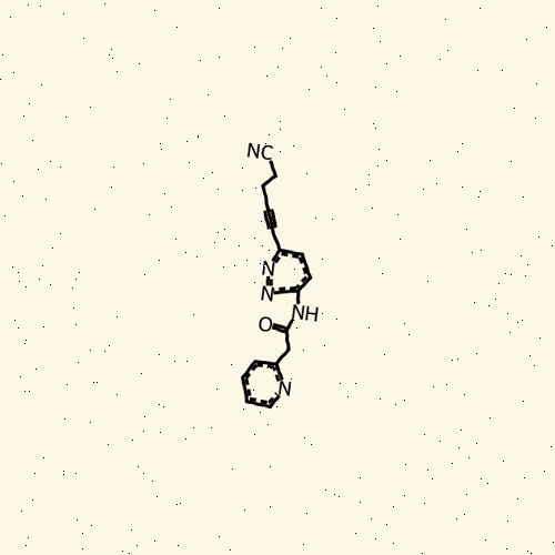 N#CCCC#Cc1ccc(NC(=O)Cc2ccccn2)nn1